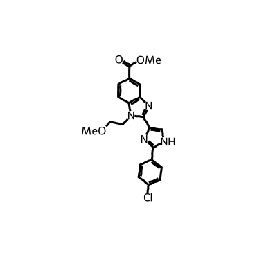 COCCn1c(-c2c[nH]c(-c3ccc(Cl)cc3)n2)nc2cc(C(=O)OC)ccc21